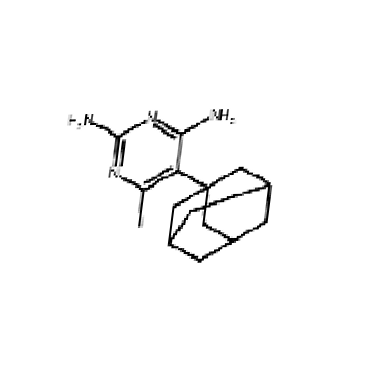 Cc1nc(N)nc(N)c1C12CC3CC(CC(C3)C1)C2